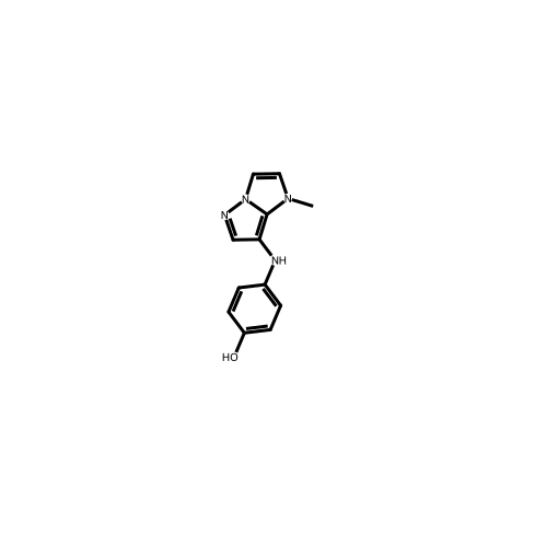 Cn1ccn2ncc(Nc3ccc(O)cc3)c12